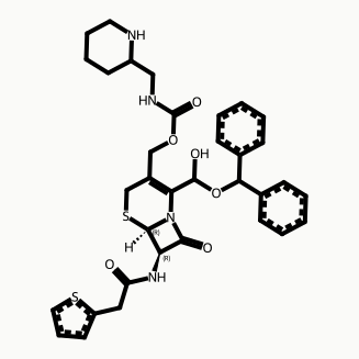 O=C(Cc1cccs1)N[C@@H]1C(=O)N2C(C(O)OC(c3ccccc3)c3ccccc3)=C(COC(=O)NCC3CCCCN3)CS[C@H]12